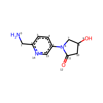 NCc1ccc(N2CC(O)CC2=O)cn1